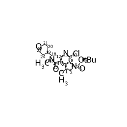 Cc1cn(C(=O)OC(C)(C)C)c2c(Cl)ncc(C(=O)N(C)CC3CCOCC3)c12